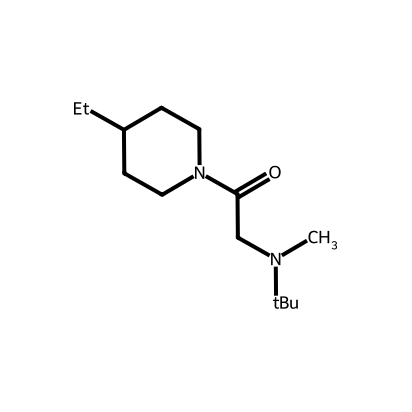 CCC1CCN(C(=O)CN(C)C(C)(C)C)CC1